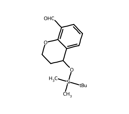 CC(C)(C)[Si](C)(C)OC1CCOc2c(C=O)cccc21